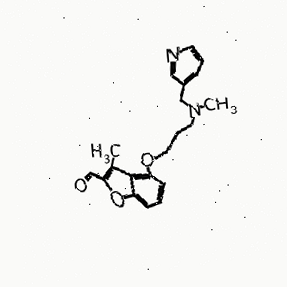 Cc1c(C=O)oc2cccc(OCCCN(C)Cc3cccnc3)c12